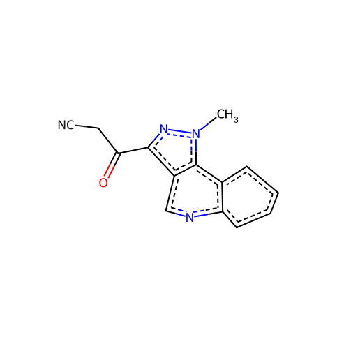 Cn1nc(C(=O)CC#N)c2cnc3ccccc3c21